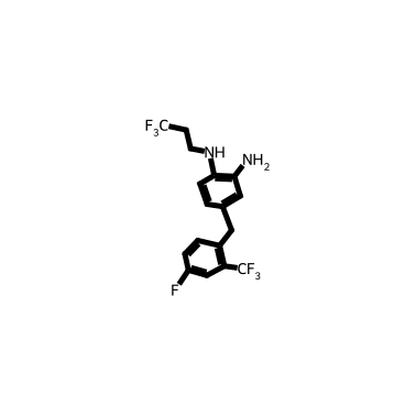 Nc1cc(Cc2ccc(F)cc2C(F)(F)F)ccc1NCCC(F)(F)F